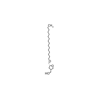 CCCCCCCCCCCCCCCCOC[C@H]1C[C@H](CO)CO1